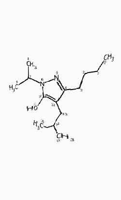 CCCCc1nn(C(C)C)c(O)c1CC(C)C